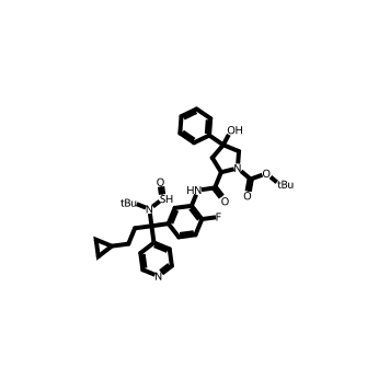 CC(C)(C)OC(=O)N1CC(O)(c2ccccc2)CC1C(=O)Nc1cc(C(CCC2CC2)(c2ccncc2)N([SH]=O)C(C)(C)C)ccc1F